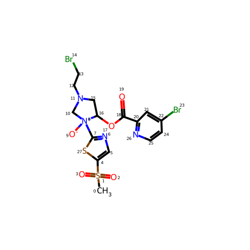 CS(=O)(=O)c1cnc([N+]2([O-])CN(CCBr)CC2OC(=O)c2cc(Br)ccn2)s1